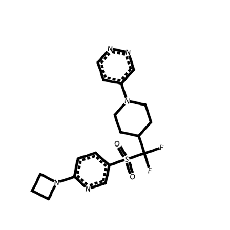 O=S(=O)(c1ccc(N2CCC2)nc1)C(F)(F)C1CCN(c2ccnnc2)CC1